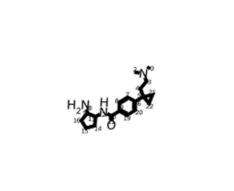 CN(C)CCC1(c2ccc(C(=O)NC3CCCC3N)cc2)CC1